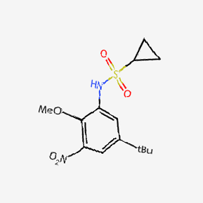 COc1c(NS(=O)(=O)C2CC2)cc(C(C)(C)C)cc1[N+](=O)[O-]